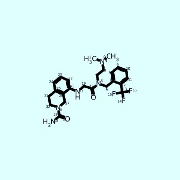 CN(C)CCN(Cc1ccccc1C(F)(F)F)C(=O)CNc1cccc2c1CN(C(N)=O)CC2